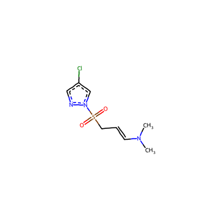 CN(C)C=CCS(=O)(=O)n1cc(Cl)cn1